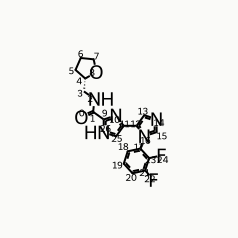 O=C(NC[C@@H]1CCCO1)c1nc(-c2cncn2-c2cccc(F)c2F)c[nH]1